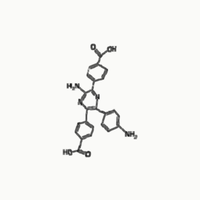 Nc1ccc(-c2nc(-c3ccc(C(=O)O)cc3)c(N)nc2-c2ccc(C(=O)O)cc2)cc1